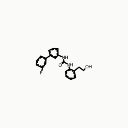 O=C(Nc1cccc(-c2cccc(F)c2)c1)Nc1ccccc1CCO